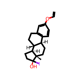 C=COc1ccc2c(c1)CC[C@@H]1[C@@H]2CC[C@@]2(C)[C@H]1CC[C@@]2(O)I